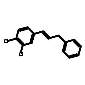 Clc1ccc(/C=C/Cc2ccccc2)cc1Cl